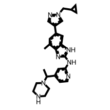 Cc1cc(-c2cnn(CC3CC3)c2)cc2[nH]c(Nc3cc(C(C)N4CCNCC4)ccn3)nc12